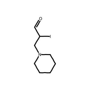 O=CC(I)CN1CCCCC1